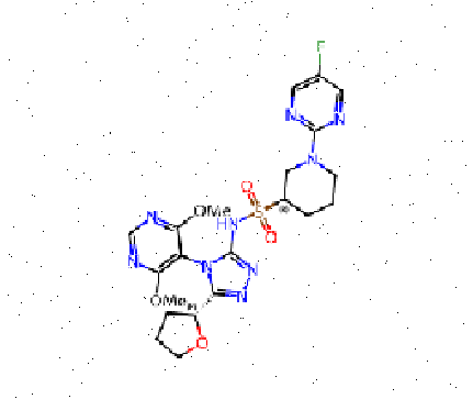 COc1ncnc(OC)c1-n1c(NS(=O)(=O)[C@@H]2CCCN(c3ncc(F)cn3)C2)nnc1[C@H]1CCCO1